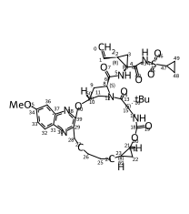 C=C[C@H]1C[C@]1(NC(=O)[C@@H]1C[C@@H]2CN1C(=O)[C@H](C(C)(C)C)NC(=O)O[C@@H]1C[C@H]1CCCCCc1nc3ccc(OC)cc3nc1O2)C(=O)NS(=O)(=O)C1CC1